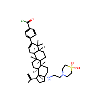 C=C(C)[C@@H]1CC[C@]2(NCCN3CCS(O)(O)CC3)CC[C@]3(C)[C@H](CC[C@@H]4[C@@]5(C)CC=C(c6ccc(C(=O)Cl)cc6)C(C)(C)[C@@H]5CC[C@]43C)[C@@H]12